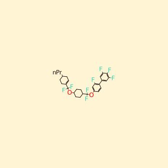 CCCC1CC=C(C(F)(F)OC2CCC(C(F)(F)Oc3ccc(-c4cc(F)c(F)c(F)c4)c(F)c3)CC2)CC1